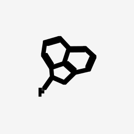 FC1Cc2cccc3cccc1c23